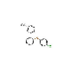 CC(=O)c1cccc(-c2ccccc2Sc2ccc(F)cc2)c1